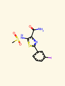 CS(=O)(=O)Nc1sc(-c2cccc(I)c2)nc1C(N)=O